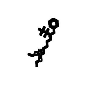 CCO[SiH](CCCCCN(Cc1ccccc1)[Si](C)(C)C(C)(C)C)OCC